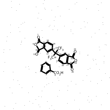 O=C(O)c1ccccc1.O=C1OC(=O)c2cc(C(c3ccc4c(c3)C(=O)OC4=O)(C(F)(F)F)C(F)(F)F)ccc21